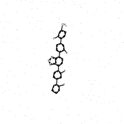 Cc1ccc(-c2ccc(-c3ccc(-c4ccc(-c5ccccc5F)cc4F)c4nsnc34)c(F)c2)c(F)c1